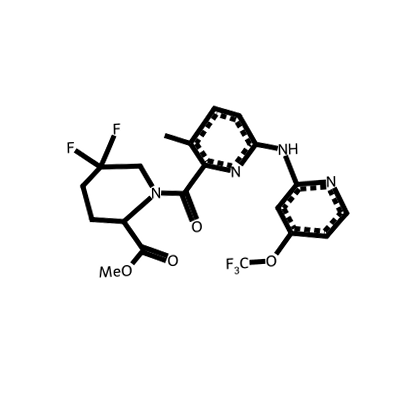 COC(=O)C1CCC(F)(F)CN1C(=O)c1nc(Nc2cc(OC(F)(F)F)ccn2)ccc1C